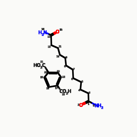 NC(=O)CCCCCCCCCCC(N)=O.O=C(O)c1ccc(C(=O)O)cc1